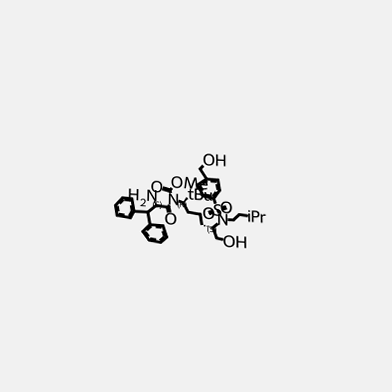 COC(=O)N(C(=O)[C@@H](N)C(c1ccccc1)c1ccccc1)[C@H](CCC[C@@H](CO)N(CCC(C)C)S(=O)(=O)c1ccc(CO)cc1)C(C)(C)C